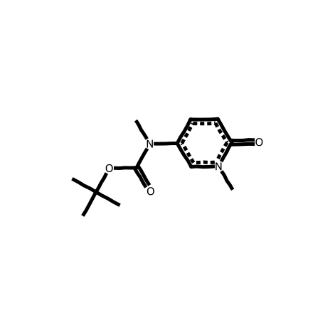 CN(C(=O)OC(C)(C)C)c1ccc(=O)n(C)c1